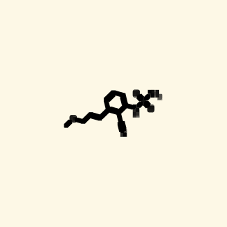 COCC=Cc1cccc(NS(N)(=O)=O)c1C#N